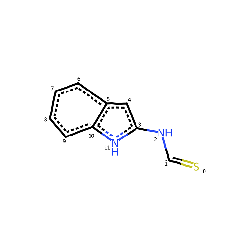 S=[C]Nc1cc2ccccc2[nH]1